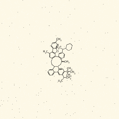 C=C1CC2C(CCc3cc(C)c4c(oc5nc(C)ccc54)c3-c3cc(C(C)C4CCCCC4)cc[n+]31)c1ccccc1-c1cc(C(C)C)c([Si](C)(C)C)c[n+]12